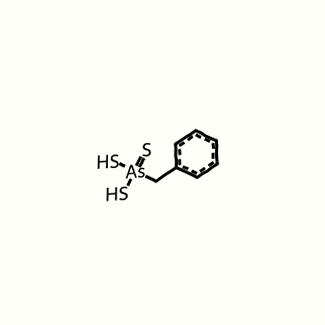 S=[As](S)(S)Cc1ccccc1